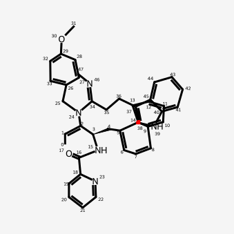 C/C=C(\[C@@H](Cc1cccc2ccccc12)NC(=O)c1ccccn1)N(Cc1ccc(OC)cc1)/C(CCc1c[nH]c2ccccc12)=N\C